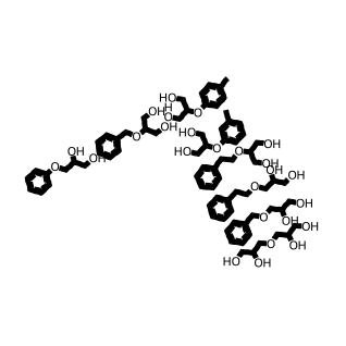 Cc1ccc(OC(CO)CO)cc1.Cc1cccc(OC(CO)CO)c1.OCC(CO)OCCc1ccccc1.OCC(CO)OCc1ccccc1.OCC(O)COCC(O)CO.OCC(O)COCCc1ccccc1.OCC(O)COCc1ccccc1.OCC(O)COc1ccccc1